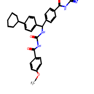 O=C(NC(=O)c1ccc(OC(F)(F)F)cc1)NC(c1ccc(C(=O)Nc2nn[nH]n2)cc1)c1ccc(C2CCCCC2)cc1